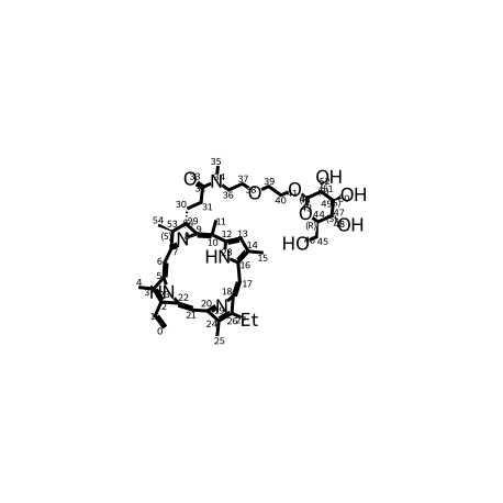 C=Cc1c(C)c2cc3nc(c(C)c4cc(C)c(cc5nc(cc1[nH]2)C(C)=C5CC)[nH]4)[C@@H](CCC(=O)N(C)CCOCCO[C@@H]1O[C@H](CO)[C@@H](O)[C@H](O)[C@H]1O)[C@@H]3C